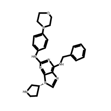 c1ccc(CNc2nc(Nc3ccc(N4CCOCC4)cc3)nc3c2ncn3[C@@H]2CCNC2)cc1